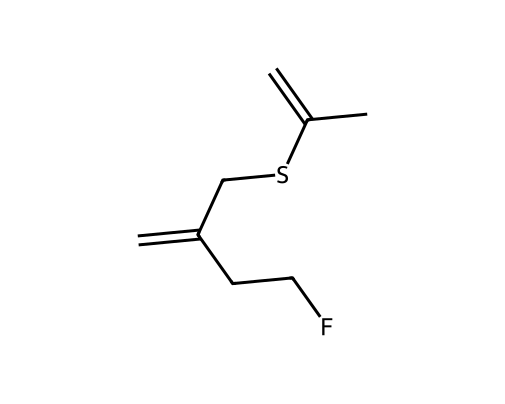 C=C(CCF)CSC(=C)C